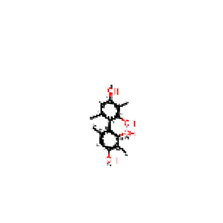 Cc1cc(O)c(C)c(O)c1-c1c(C)cc(O)c(C)c1O